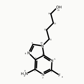 Nc1nc(F)nc2c1ncn2CCCCO